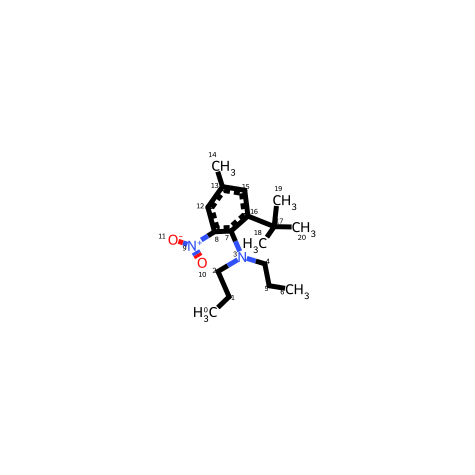 CCCN(CCC)c1c([N+](=O)[O-])cc(C)cc1C(C)(C)C